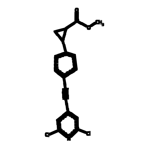 COC(=O)C1CC1c1ccc(C#Cc2cc(Cl)nc(Cl)c2)cc1